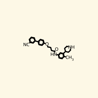 Cc1ccc(NC(=O)CCCOc2ccc(-c3cccc(C#N)c3)cc2)cc1C1CCNCC1